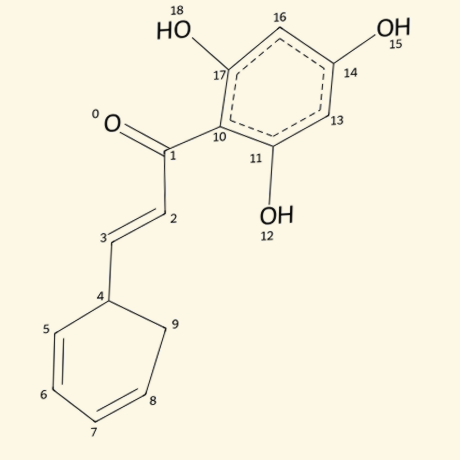 O=C(C=CC1C=CC=CC1)c1c(O)cc(O)cc1O